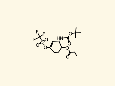 CCC(=O)OC1CCC(OS(=O)(=O)C(F)(F)F)=C[C@@H]1NC(=O)OC(C)(C)C